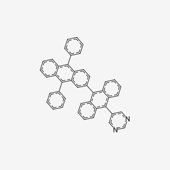 c1ccc(-c2c3ccccc3c(-c3ccccc3)c3cc(-c4c5ccccc5c(-c5cncnc5)c5ccccc45)ccc23)cc1